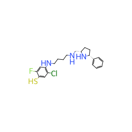 Fc1cc(NCCCCNC[C@@H]2CC[C@H](c3ccccc3)N2)c(Cl)cc1S